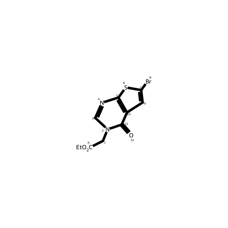 CCOC(=O)Cn1cnc2sc(Br)cc2c1=O